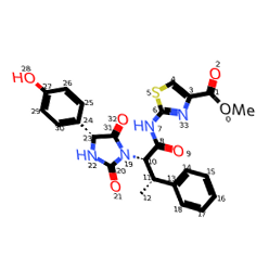 COC(=O)c1csc(NC(=O)[C@H]([C@@H](C)c2ccccc2)N2C(=O)N[C@H](c3ccc(O)cc3)C2=O)n1